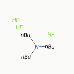 CCCCN(CCCC)CCCC.F.F.F